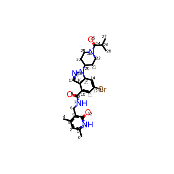 Cc1cc(C)c(CNC(=O)C2=CC(Br)=CC3C2C=NN3C2CCN(C(=O)C(C)C)CC2)c(=O)[nH]1